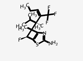 CC/C=C(/C(F)(F)F)[C@](C)(C(C)C)C1(C)c2nc(N)sc2[C@H]1F